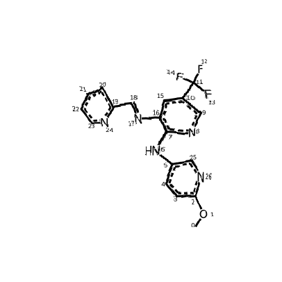 COc1ccc(Nc2ncc(C(F)(F)F)cc2N=Cc2ccccn2)cn1